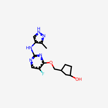 Cc1n[nH]cc1Nc1ncc(F)c(OCC2CCC(O)C2)n1